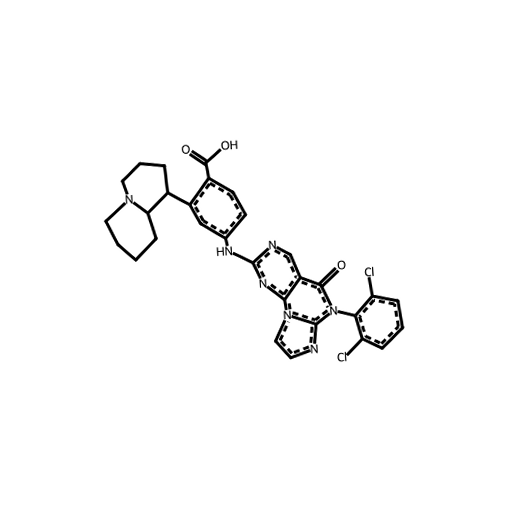 O=C(O)c1ccc(Nc2ncc3c(=O)n(-c4c(Cl)cccc4Cl)c4nccn4c3n2)cc1C1CCCN2CCCCC12